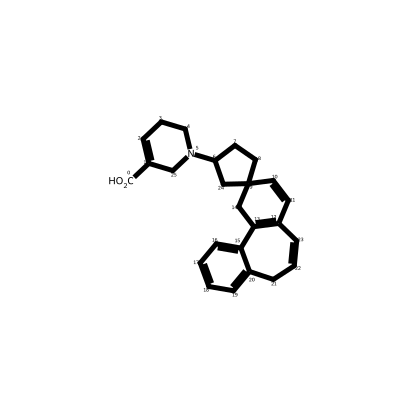 O=C(O)C1=CCCN(C2CCC3(C=CC4=C(C3)c3ccccc3CC=C4)C2)C1